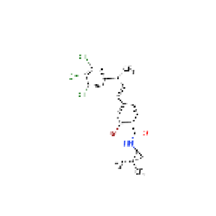 O=C(NC1CC1(C(F)(F)F)C(F)(F)F)c1ccc(/C=C/C(c2cc(Cl)c(Cl)c(Cl)c2)C(F)(F)F)cc1Br